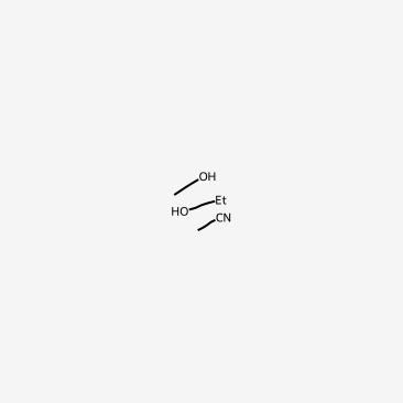 CC#N.CCO.CO